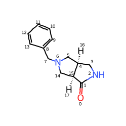 O=C1NC[C@@H]2CN(Cc3ccccc3)C[C@H]12